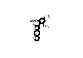 COc1cc(C)cc(C)c1C1=CC2(CCC3(CCCO3)CC2)OC1=O